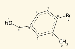 Cc1cc([CH]O)ccc1Br